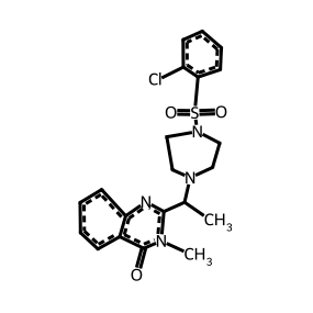 CC(c1nc2ccccc2c(=O)n1C)N1CCN(S(=O)(=O)c2ccccc2Cl)CC1